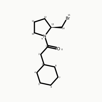 O=C(CC1CCCCC1)N1CCC[C@H]1CBr